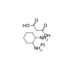 NC1CCCCC1N.O=C(O)CC(=O)O.[Pt]